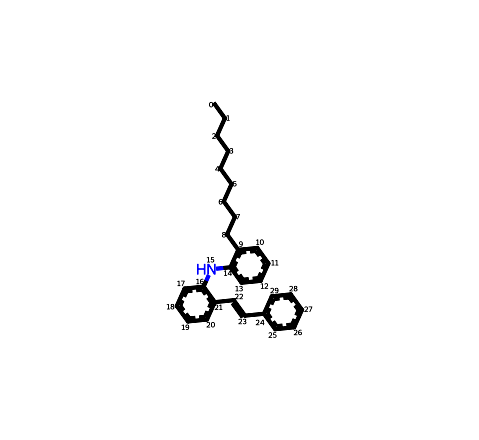 CCCCCCCCCc1ccccc1Nc1ccccc1C=Cc1ccccc1